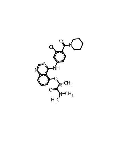 C[C@@H](Oc1cccc2ncnc(Nc3ccc(C(=O)N4CCCCC4)c(Cl)c3)c12)C(=O)N(C)C